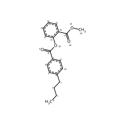 CCCCc1ccc(C(=O)Oc2ccccc2C(=O)OC)cc1